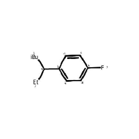 CCC(C)C(CC)c1ccc(F)cc1